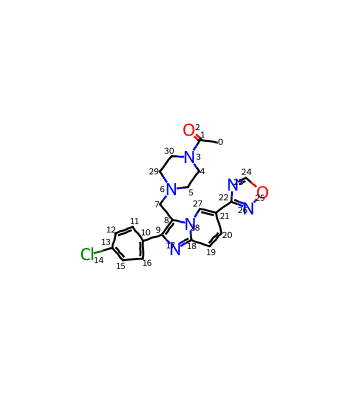 CC(=O)N1CCN(Cc2c(-c3ccc(Cl)cc3)nc3ccc(-c4ncon4)cn23)CC1